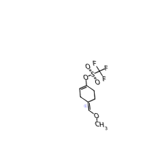 CO/C=C1/CC=C(OS(=O)(=O)C(F)(F)F)CC1